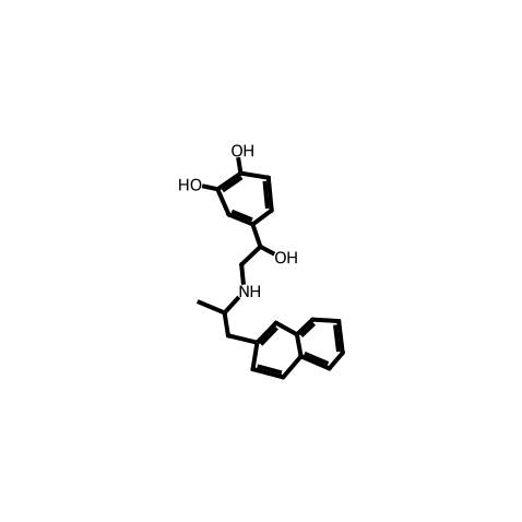 CC(Cc1ccc2ccccc2c1)NCC(O)c1ccc(O)c(O)c1